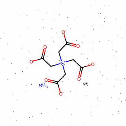 N.O=C([O-])C[N+](CC(=O)[O-])(CC(=O)[O-])CC(=O)[O-].[Pt]